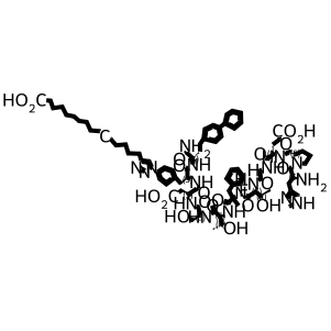 C[C@@H](O)[C@H](NC(=O)CNC(=O)[C@H](CCC(=O)O)NC(=O)[C@@H]1CCCN1C(=O)[C@@H](N)Cc1c[nH]cn1)C(=O)NC(C)(Cc1ccccc1F)C(=O)N[C@H](C(=O)N[C@@H](CO)C(=O)N[C@@H](CC(=O)O)C(=O)N[C@@H](Cc1ccc(-n2cc(CCCCCCCCCCCCCCCC(=O)O)nn2)cc1)C(=O)N[C@@H](CCc1ccc(-c2ccccc2)cc1)C(N)=O)[C@@H](C)O